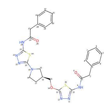 O=C(Cc1ccccc1)Nc1nnc(OC[C@H]2CCN(c3nnc(NC(=O)Cc4ccccc4)s3)C2)s1